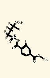 CC(C)(C)OC(=O)c1ccc(C(=O)NS(=O)(=O)C(F)(F)C(F)(F)C(F)(F)S(=O)(=O)O)c(I)c1